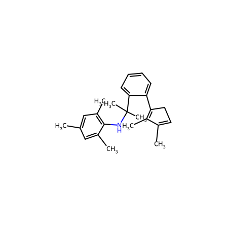 CC1=CCC(c2ccccc2C(C)(C)Nc2c(C)cc(C)cc2C)=C1C